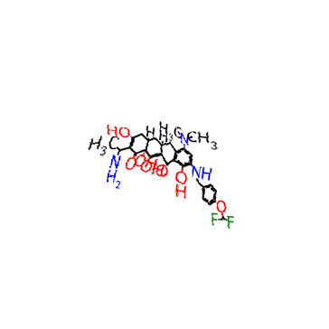 CC(N)C1=C(O)C[C@@H]2C[C@@H]3Cc4c(N(C)C)cc(NCc5ccc(OC(F)F)cc5)c(O)c4C(=O)C3=C(O)[C@]2(O)C1=O